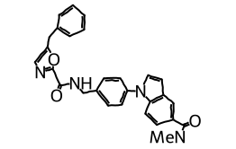 CNC(=O)c1ccc2c(ccn2-c2ccc(CNC(=O)c3ncc(Cc4ccccc4)o3)cc2)c1